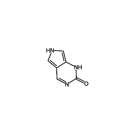 O=c1ncc2c[nH]cc2[nH]1